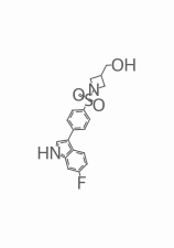 O=S(=O)(c1ccc(-c2c[nH]c3cc(F)ccc23)cc1)N1CC(CO)C1